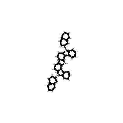 c1ccc2cc(-n3c4ccccc4c4c5sc6c(ccc7c6c6ccccc6n7-c6ccc7ccccc7c6)c5ccc43)ccc2c1